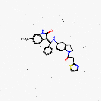 O=C1Nc2cc(C(=O)O)ccc2/C1=C(/NC1C=CC2=C(CCN2C(=O)Cc2nccs2)C1)c1ccccc1